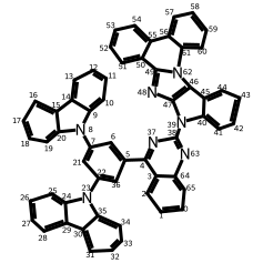 c1ccc2c(-c3cc(-n4c5ccccc5c5ccccc54)cc(-n4c5ccccc5c5ccccc54)c3)nc(-n3c4ccccc4c4c3nc3c5ccccc5c5ccccc5n34)nc2c1